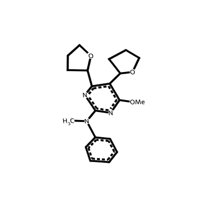 COc1nc(N(C)c2ccccc2)nc(C2CCCO2)c1C1CCCO1